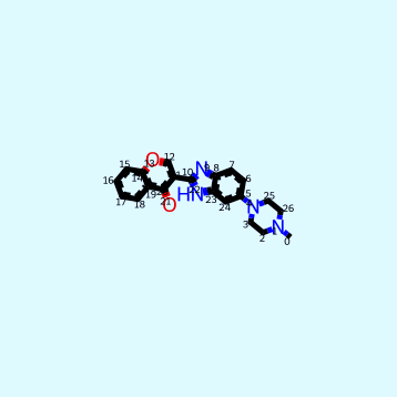 CN1CCN(c2ccc3nc(-c4coc5ccccc5c4=O)[nH]c3c2)CC1